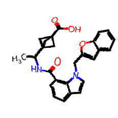 CC(NC(=O)c1cccc2ccn(Cc3cc4ccccc4o3)c12)C12CC(C(=O)O)(C1)C2